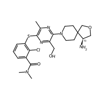 Cc1nc(N2CCC3(CC2)COC[C@H]3N)c(CO)nc1Sc1cccc(C(=O)N(C)C)c1Cl